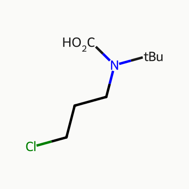 CC(C)(C)N(CCCCl)C(=O)O